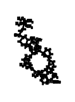 CCn1c(-c2cccnc2[C@H](C)OC)c2c3cc(ccc31)-c1cccc(c1)C[C@H](NC(=O)[C@H](C(C)C)N(C)C(=O)C1(F)CCN(C(=O)C#CC(C)(C)N(C)C)CC1)C(=O)N1CCC[C@@]([SiH3])(N1)C(=O)OCC(C)(C)C2